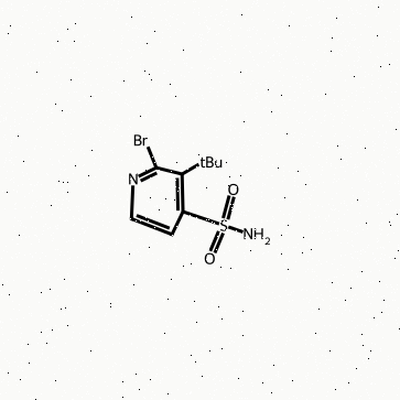 CC(C)(C)c1c(S(N)(=O)=O)ccnc1Br